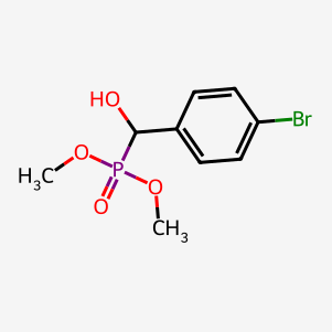 COP(=O)(OC)C(O)c1ccc(Br)cc1